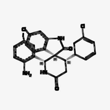 Nc1ccc(I)cc1[C@H]1NC(=O)C[C@@H](C2C=CC=C(Cl)C2)[C@]12C(=O)Nc1cc(Cl)ccc12